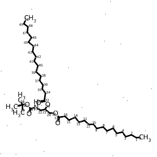 CCCCCCCCCCCCCCCCCC(=O)OCC(CNC(=O)OC(C)(C)C)OC(=O)CCCCCCCCCCCCCCCCC